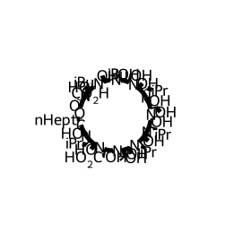 CCCCCCCC1CC(O)=N[C@H](CC(C)C)C(O)=N[C@H](CC(=O)O)C(O)=N[C@H]([C@H](C)O)C(O)=N[C@H](CC(C)C)C(O)=N[C@H](CC(C)C)C(O)=N[C@H](CO)C(O)=N[C@@H](CC(C)C)C(O)=N[C@H](CO)C(O)=N[C@@H]([C@@H](C)CC)C(O)=N[C@@H]([C@@H](C)CC)C(O)=N[C@@H](CC(=O)O)C(=O)O1